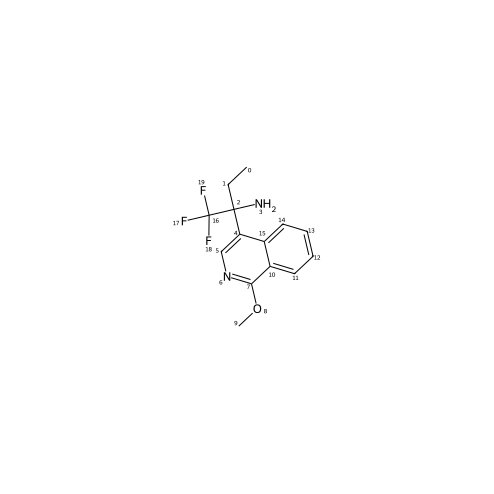 CCC(N)(c1cnc(OC)c2ccccc12)C(F)(F)F